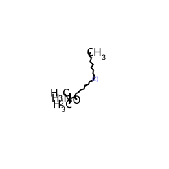 CCCCCCCC/C=C\CCCCCCCC(=O)C(N)(CC)CC